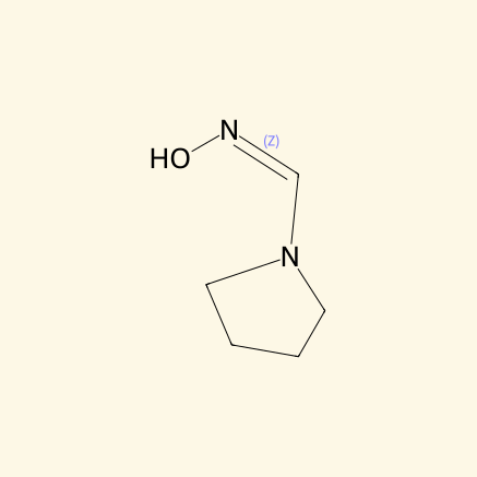 O/N=C\N1CCCC1